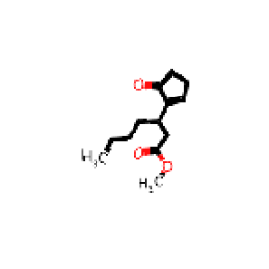 CCCCC(CC(=O)OC)C1=CCCC1=O